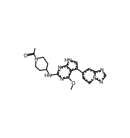 COc1nc(NC2CCN(C(C)=O)CC2)nc2[nH]cc(-c3ccn4ncnc4c3)c12